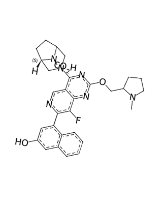 CN1CCCC1COc1nc(N2CC3CC[C@@H](C2)N3C(=O)O)c2cnc(-c3cc(O)cc4ccccc34)c(F)c2n1